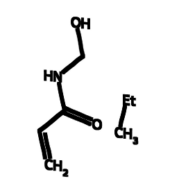 C=CC(=O)NCO.CCC